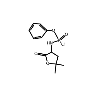 CC1(C)CC(NP(=O)(Cl)Oc2ccccc2)C(=O)O1